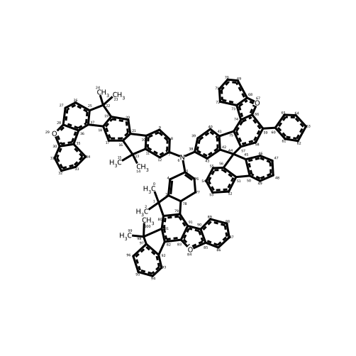 CC1(C)C2=CC(N(c3ccc4c(c3)C(C)(C)c3cc5c(cc3-4)C(C)(C)c3ccc4oc6ccccc6c4c3-5)c3ccc4c(c3)C3(c5ccccc5-c5ccccc53)c3cc(-c5ccccc5)c5oc6ccccc6c5c3-4)=CCC2c2c1c1c(c3oc4ccccc4c23)-c2ccccc2C1(C)C